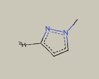 [2H]c1ccn(C)n1